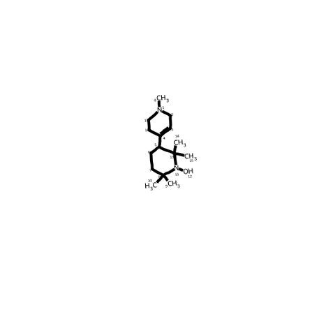 CN1CC=C(C2CCC(C)(C)N(O)C2(C)C)CC1